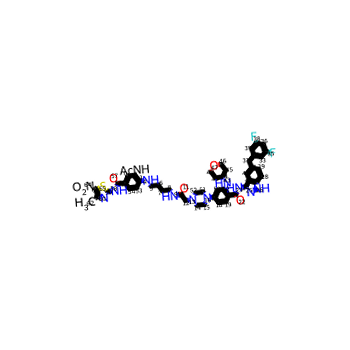 CC(=O)Nc1cc(NCCCCNC(=O)CN2CCN(c3ccc(C(=O)Nc4n[nH]c5ccc(Cc6cc(F)cc(F)c6)cc45)c(NC4CCOCC4)c3)CC2)ccc1C(=O)Nc1nc(C)c([N+](=O)[O-])s1